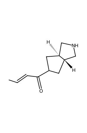 CC=CC(=O)C1C[C@H]2CNC[C@@H]2C1